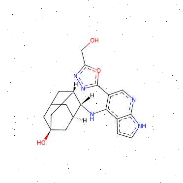 OCc1nnc(-c2cnc3[nH]ccc3c2N[C@@H]2[C@@H]3CC4C[C@H]2C[C@@](O)(C4)C3)o1